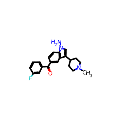 CN1CCC(c2cn(N)c3ccc(C(=O)c4cccc(F)c4)cc23)CC1